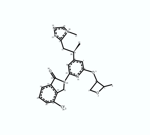 CC1OCC1Oc1cc([C@H](C)Cc2nncn2C)cc(N2Cc3c(cccc3C(F)(F)F)C2=O)n1